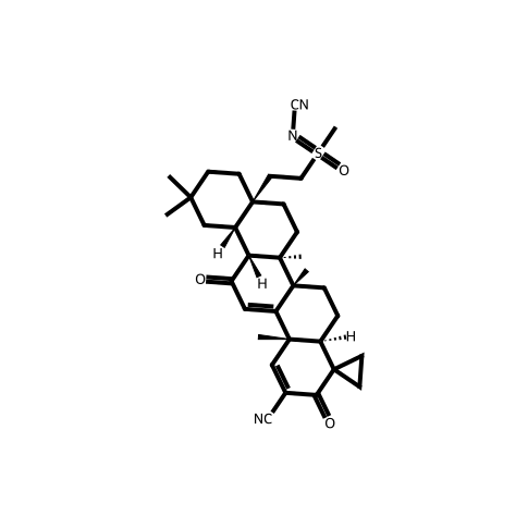 CC1(C)CC[C@]2(CCS(C)(=O)=NC#N)CC[C@]3(C)[C@H](C(=O)C=C4[C@@]5(C)C=C(C#N)C(=O)C6(CC6)[C@@H]5CC[C@]43C)[C@@H]2C1